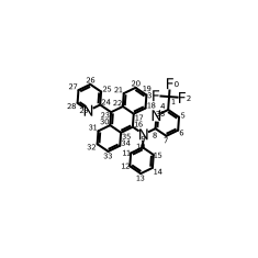 FC(F)(F)c1cccc(N(c2ccccc2)c2c3ccccc3c(-c3ccccn3)c3ccccc23)n1